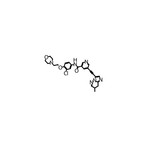 CC1C=Nn2c(C#Cc3cncc(C(=O)Nc4ccc(OCCN5CCOCC5)c(Cl)c4)c3)cnc2C1